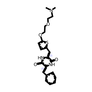 CN(C)CCOCCOc1ccc(/C=c2\[nH]c(=O)/c(=C/c3ccccc3)[nH]c2=O)s1